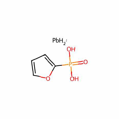 O=P(O)(O)c1ccco1.[PbH2]